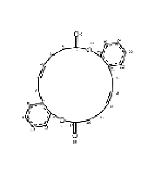 O=C1CC/C=C\Cc2ccccc2OC(=O)CC/C=C\Cc2ccccc2O1